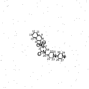 O=C1CN(S(=O)(=O)c2ccc3ccccc3c2)CCN1CC1CCN(c2ccncc2)CC1